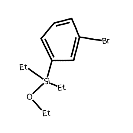 CCO[Si](CC)(CC)c1cccc(Br)c1